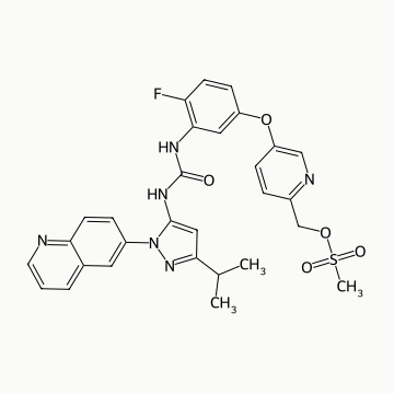 CC(C)c1cc(NC(=O)Nc2cc(Oc3ccc(COS(C)(=O)=O)nc3)ccc2F)n(-c2ccc3ncccc3c2)n1